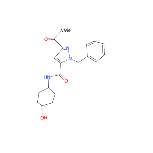 CNC(=O)c1cc(C(=O)NC2CCC(O)CC2)n(Cc2ccccc2)n1